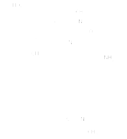 C=C1CC(C)CC(CC)(c2noc(C(N)CCCCN(C)C)n2)C1